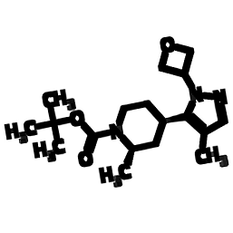 Cc1cnn(C2COC2)c1[C@@H]1CCN(C(=O)OC(C)(C)C)[C@H](C)C1